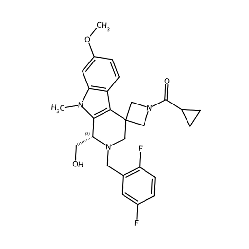 COc1ccc2c3c(n(C)c2c1)[C@@H](CO)N(Cc1cc(F)ccc1F)CC31CN(C(=O)C2CC2)C1